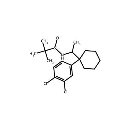 CC(N[S+]([O-])C(C)(C)C)C1(c2ccc(Cl)c(Cl)c2)CCCCC1